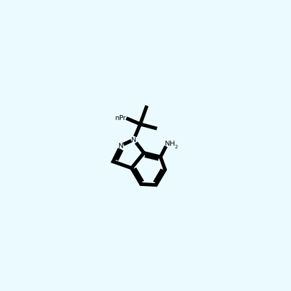 CCCC(C)(C)n1ncc2cccc(N)c21